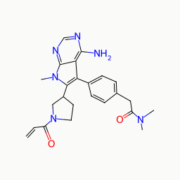 C=CC(=O)N1CCC(c2c(-c3ccc(CC(=O)N(C)C)cc3)c3c(N)ncnc3n2C)C1